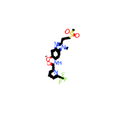 COc1cc2nc(CCS(C)(=O)=O)n(C)c2cc1NC(=O)c1cccc(C(F)(F)F)n1